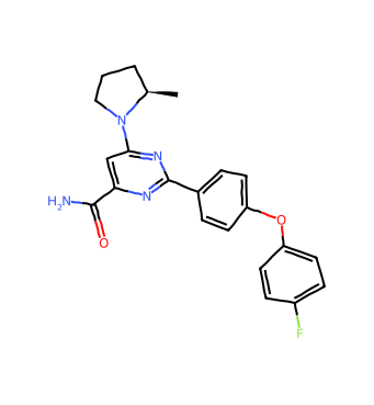 C[C@@H]1CCCN1c1cc(C(N)=O)nc(-c2ccc(Oc3ccc(F)cc3)cc2)n1